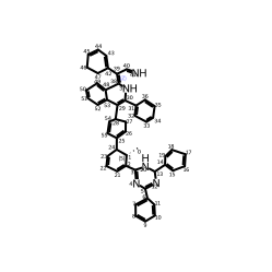 C[C@@H]1C(C2=NC(c3ccccc3)=NC(c3ccccc3)N2)=CC=CC1C1=CCC(C2=C(c3ccccc3)N/C(=C(\C=N)C3=CC=CCC3)c3ccccc32)C=C1